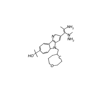 C/C(N)=C(\c1cnc2c(c1)N(CC1CCCOCCC1)C1C=CC(C(C)(C)O)=CC=C21)N(C)N